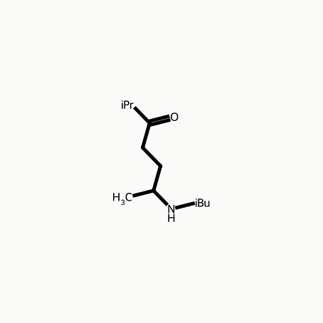 CCC(C)NC(C)CCC(=O)C(C)C